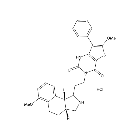 COc1cccc2c1CC[C@H]1CNC(CCn3c(=O)[nH]c4c(-c5ccccc5)c(OC)sc4c3=O)[C@@H]21.Cl